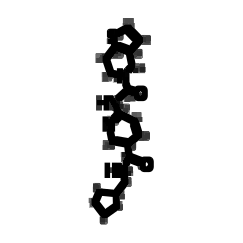 O=C(NCC1CCCC1)c1ccc(NC(=O)N2CCc3sccc3C2)nc1